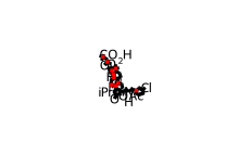 CC(=O)O[C@H](CNCc1cccc(Cl)c1)[C@@]12CC[C@]3(C)[C@H](CC[C@@H]4[C@@]5(C)CC[C@H](OC(=O)CC(C)(C)C(=O)O)C(C)(C)C5CC[C@]43C)C1=C(C(C)C)C(=O)C2